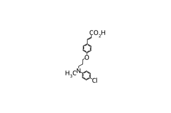 CN(CCCOc1ccc(C=CC(=O)O)cc1)c1ccc(Cl)cc1